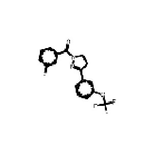 O=C(c1cccc(F)c1)N1CCC(c2cccc(OC(F)(F)F)c2)=N1